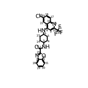 O=C(NC1CCC(Nc2cc(C(F)(F)F)nc3ccc(Cl)cc23)CC1)c1nc2ccccc2o1